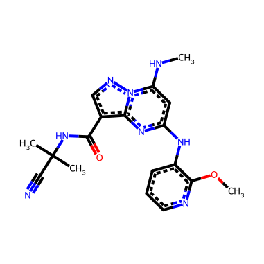 CNc1cc(Nc2cccnc2OC)nc2c(C(=O)NC(C)(C)C#N)cnn12